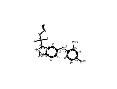 C=CCC(C)(C)c1nnc2ccc(Sc3ccc(F)cc3F)cn12